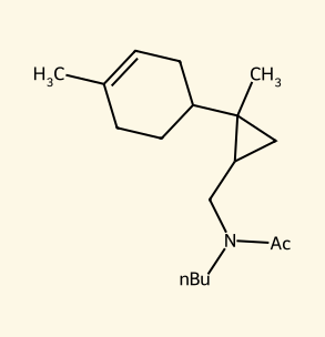 CCCCN(CC1CC1(C)C1CC=C(C)CC1)C(C)=O